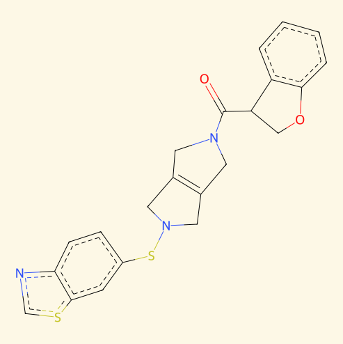 O=C(C1COc2ccccc21)N1CC2=C(CN(Sc3ccc4ncsc4c3)C2)C1